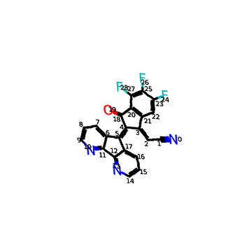 N#C/C=C1/C(=C2c3cccnc3-c3ncccc32)C(=O)c2c1cc(F)c(F)c2F